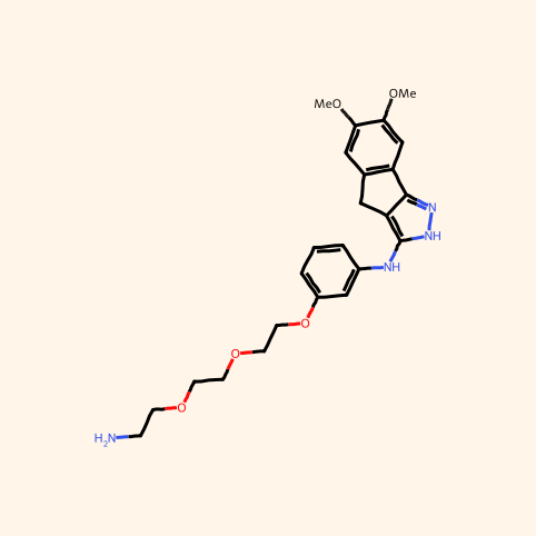 COc1cc2c(cc1OC)-c1n[nH]c(Nc3cccc(OCCOCCOCCN)c3)c1C2